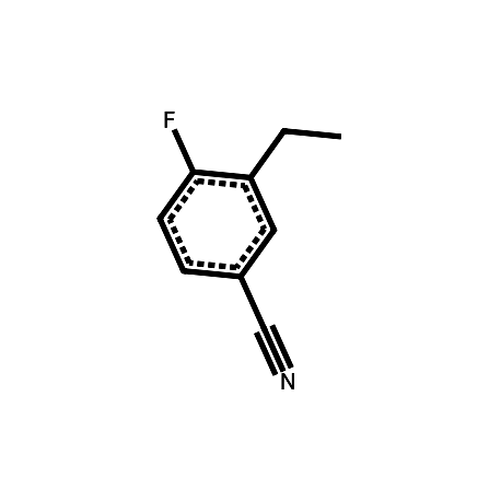 CCc1cc(C#N)ccc1F